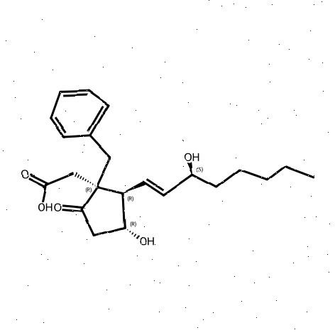 CCCCC[C@H](O)C=C[C@H]1[C@H](O)CC(=O)[C@@]1(CC(=O)O)Cc1ccccc1